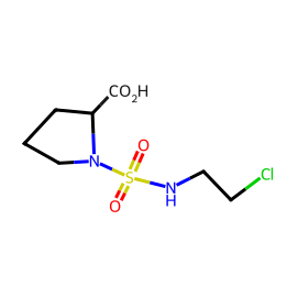 O=C(O)C1CCCN1S(=O)(=O)NCCCl